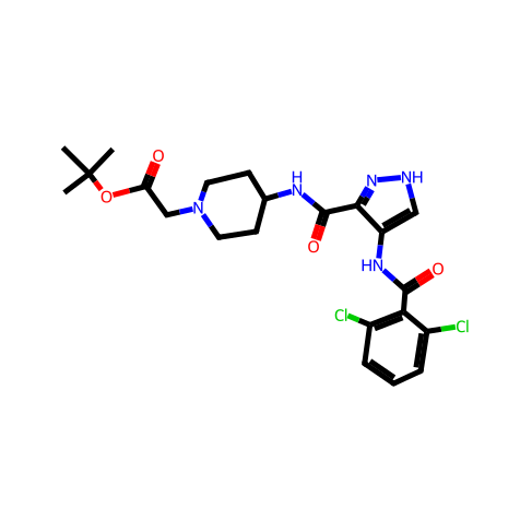 CC(C)(C)OC(=O)CN1CCC(NC(=O)c2n[nH]cc2NC(=O)c2c(Cl)cccc2Cl)CC1